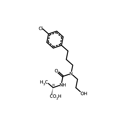 C[C@H](NC(=O)N(CCO)CCCc1ccc(Cl)cc1)C(=O)O